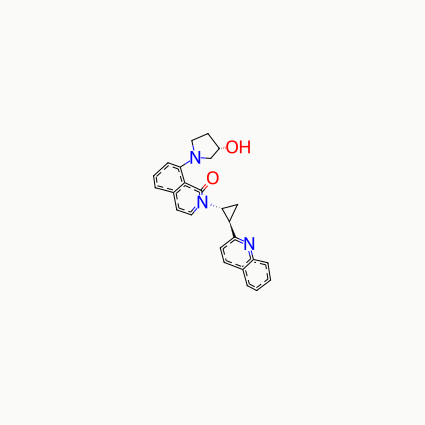 O=c1c2c(N3CC[C@H](O)C3)cccc2ccn1[C@@H]1C[C@H]1c1ccc2ccccc2n1